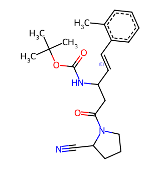 Cc1ccccc1/C=C/C(CC(=O)N1CCCC1C#N)NC(=O)OC(C)(C)C